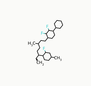 C=CC(CCC(C)CCC1CCC(C2CCCCC2)C(F)C1F)C1CCC(C)CC1F